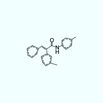 Cc1ccc(NC(=O)C(=Cc2ccccc2)c2cccc(C)c2)cc1